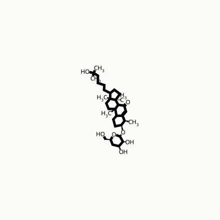 C[C@@H]1C2=CC(=O)C3[C@@](C)(CC[C@]4(C)C(CCCCC(C)(C)O)CC[C@@]34C)C2CC[C@@H]1O[C@@H]1O[C@H](CO)C[C@H](O)[C@H]1O